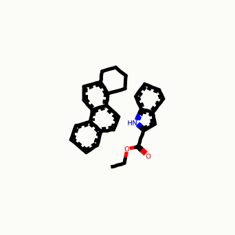 CCOC(=O)c1cc2ccccc2[nH]1.c1ccc2c(c1)ccc1c3c(ccc12)CCCC3